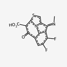 CN=c1c2c(F)c(F)cc3c(=O)c(C(=O)O)c4scc1n4c32